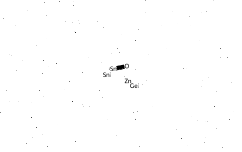 [Ge].[O]=[Sn].[Sn].[Zn]